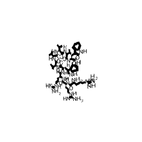 CC(C)[C@H](NC(=O)[C@H](Cc1c[nH]c2ccccc12)NC(=O)[C@H](CCCNC(=N)N)NC(=O)[C@H](CCCNC(=N)N)NC(=O)[C@@H](N)CCCNC(=N)N)C(=O)N[C@H](C(=O)N[C@H](C(=O)N[C@H](C(=O)N[C@@H](Cc1c[nH]c2ccccc12)C(=O)O)C(C)C)C(C)C)C(C)C